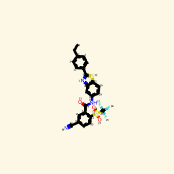 CCc1ccc(-c2nc3cc(NC(=O)c4cc(C#N)ccc4S(=O)(=O)C(F)(F)F)ccc3s2)cc1